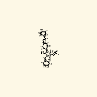 CC(C)(C)OC(=O)N[C@@H](Cc1ccccc1)C(=O)Nc1ccc(SCc2ccccc2)cc1